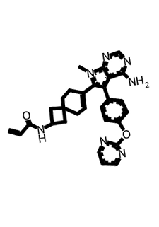 C=CC(=O)NC1CC2(CC=C(c3c(-c4ccc(Oc5ncccn5)cc4)c4c(N)ncnc4n3C)CC2)C1